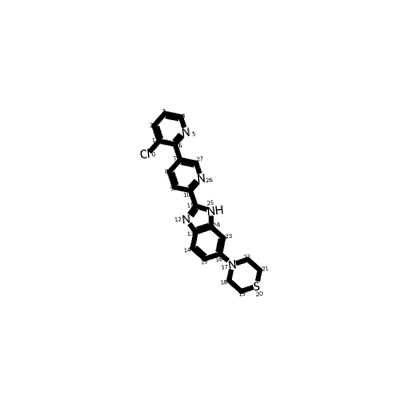 Clc1cccnc1-c1ccc(-c2nc3ccc(N4CCSCC4)cc3[nH]2)nc1